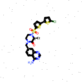 CC[C@H]1C(=O)N(Cc2ccc3c(N)ncnc3c2)CCN1S(=O)(=O)c1ccc(-c2ccc(Cl)s2)s1